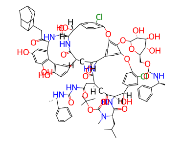 CC(C)C[C@H](C(=O)N[C@H]1C(=O)C[C@@H](CC(=O)NC(=O)N[C@@H](C)c2ccccc2)C(=O)N[C@H]2C(=O)C[C@@H]3C(=O)N[C@H](C(=O)N[C@H](C(=O)CC4C5CC6CC(C5)CC4C6)c4cc(O)cc(O)c4-c4cc3ccc4O)[C@H](O)c3ccc(c(Cl)c3)Oc3cc2cc(c3OC2O[C@H](COC(=O)N[C@@H](C)c3ccccc3)[C@@H](O)[C@H](O)[C@H]2O)Oc2ccc(cc2Cl)[C@H]1O)N(C)C(=O)OC(C)(C)C